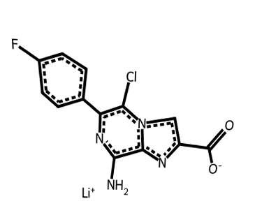 Nc1nc(-c2ccc(F)cc2)c(Cl)n2cc(C(=O)[O-])nc12.[Li+]